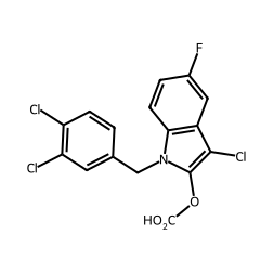 O=C(O)Oc1c(Cl)c2cc(F)ccc2n1Cc1ccc(Cl)c(Cl)c1